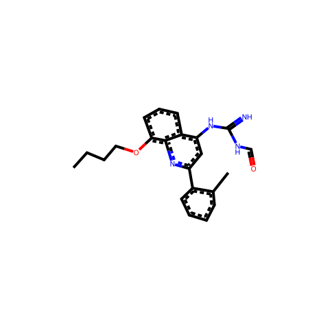 CCCCOc1cccc2c(NC(=N)NC=O)cc(-c3ccccc3C)nc12